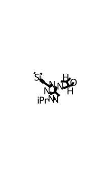 CC(C)n1ncc2c(N3C[C@H]4COC[C@H]4C3)nc(C#C[Si](C)(C)C)nc21